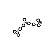 c1ccc(N(c2ccc(-c3ccc(-c4cccc5oc6ccccc6c45)cc3)cc2)c2ccc(-c3ccc(-n4c5ccccc5c5ccccc54)cc3)cc2)cc1